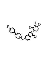 O=C1CCC(N2Cc3cc(CN4CCN(c5ccc(F)cc5)CC4)ccc3C2=O)C(=O)N1